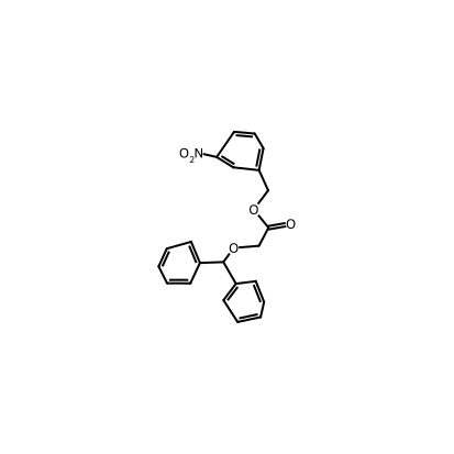 O=C(COC(c1ccccc1)c1ccccc1)OCc1cccc([N+](=O)[O-])c1